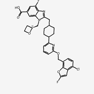 O=C(O)c1cc(F)c2nc(CC3CCC(c4cccc(OCc5ccc(Cl)c6cc(F)oc56)n4)CC3)n(C[C@@H]3CCO3)c2c1